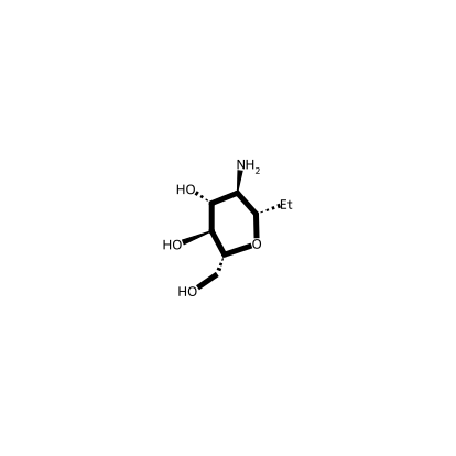 CC[C@@H]1O[C@H](CO)[C@@H](O)[C@H](O)[C@H]1N